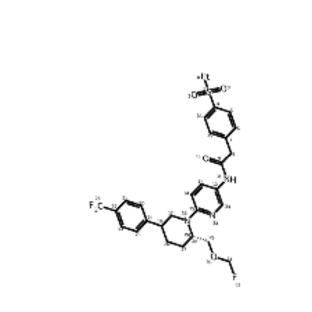 CCS(=O)(=O)c1ccc(CC(=O)Nc2ccc(N3CC(c4ccc(C(F)(F)F)cc4)CC[C@H]3COCF)nc2)cc1